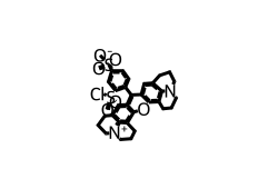 O=S(=O)([O-])c1ccc(C2=c3cc4c5c(c3Oc3c2cc2c6c3CCCN6CCC2)CCC[N+]=5CCC4)c(S(=O)(=O)Cl)c1